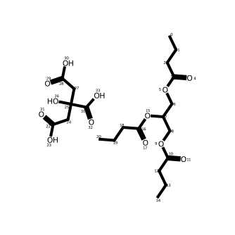 CCCC(=O)OCC(COC(=O)CCC)OC(=O)CCC.O=C(O)CC(O)(CC(=O)O)C(=O)O